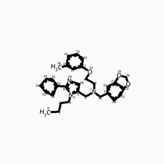 CCCCn1c(CN(CCOc2cccc(C)c2)Cc2ccc3c(c2)OCO3)cnc1-c1ccccc1